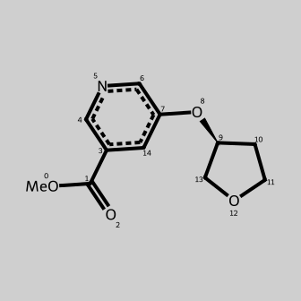 COC(=O)c1cncc(O[C@H]2CCOC2)c1